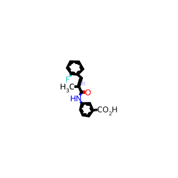 C/C(=C\c1ccccc1F)C(=O)Nc1cccc(C(=O)O)c1